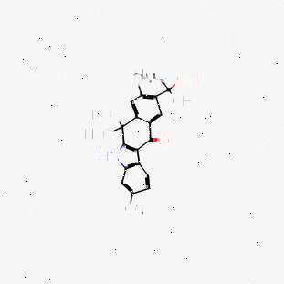 COc1cc2c(cc1C(C)(C)O)C(=O)c1c([nH]c3cc(C#N)ccc13)C2(C)C